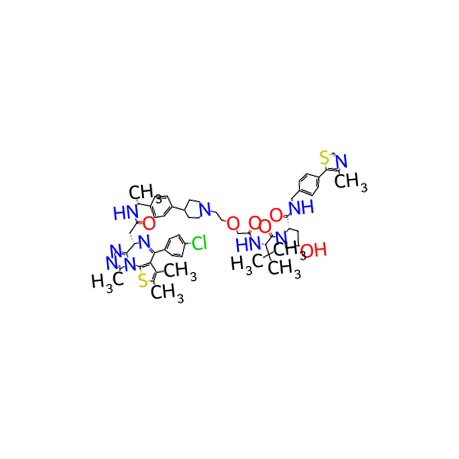 Cc1ncsc1-c1ccc(CNC(=O)[C@@H]2C[C@@H](O)CN2C(=O)[C@@H](NC(=O)COCCN2CCC(c3ccc([C@@H](C)NC(=O)C[C@@H]4N=C(c5ccc(Cl)cc5)c5c(sc(C)c5C)-n5c(C)nnc54)cc3)CC2)C(C)(C)C)cc1